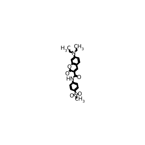 CCN(CC)c1ccc2cc(C(=O)Nc3ccc(S(C)(=O)=O)cc3)c(=O)oc2c1